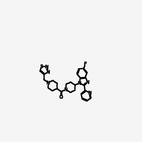 O=C(C1CCN(Cc2csnn2)CC1)N1CCC(n2c(-c3ccccn3)nc3cc(F)ccc32)CC1